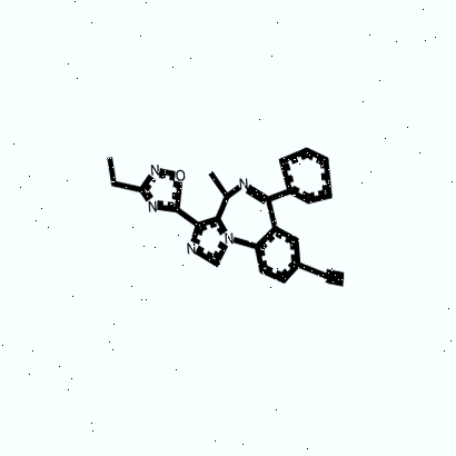 C#Cc1ccc2c(c1)C(c1ccccc1)=NC(C)c1c(-c3nc(CC)no3)ncn1-2